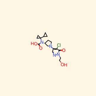 O=C(O)N([C@@H]1CCN(c2cnn(CCO)c(=O)c2Cl)C1)C1(C2CC2)CC1